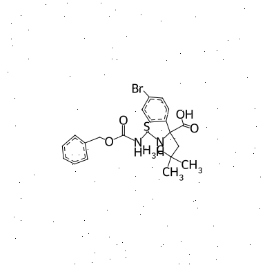 CC(C)(C)CC(NC(=S)NC(=O)OCc1ccccc1)(C(=O)O)c1ccc(Br)cc1